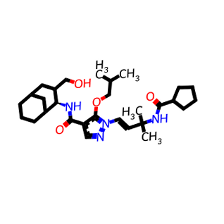 CC(C)COc1c(C(=O)N[C@@H]2C(CO)CC3CCCC2C3)cnn1/C=C/C(C)(C)NC(=O)C1CCCC1